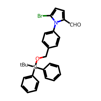 CC(C)(C)[Si](OCc1ccc(-n2c(Br)ccc2C=O)cc1)(c1ccccc1)c1ccccc1